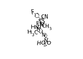 CCC1NN2C(C)=CC(N3CCC4(CN(C(=O)C5(O)CC5)C4)C3)=CC2=C1N(C)c1nc(-c2ccc(F)cc2)c(C#N)s1